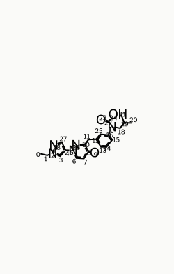 CCn1cc(-n2ccc(=O)c(Cc3cccc(N(CC(C)C)C(=O)O)c3)n2)cn1